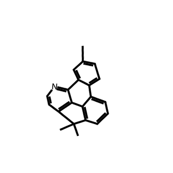 Cc1ccc2c(c1)c1nccc3c1c1c(cccc21)C3(C)C